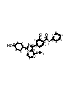 Nc1nccn2c(C3CCC(O)CC3)nc(-c3ccc(C(=O)Nc4ccccn4)c(Cl)c3)c12